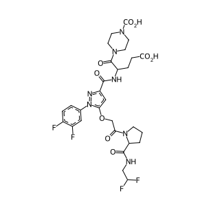 O=C(O)CCC(NC(=O)c1cc(OCC(=O)N2CCCC2C(=O)NCC(F)F)n(-c2ccc(F)c(F)c2)n1)C(=O)N1CCN(C(=O)O)CC1